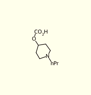 CCCN1CCC(OC(=O)O)CC1